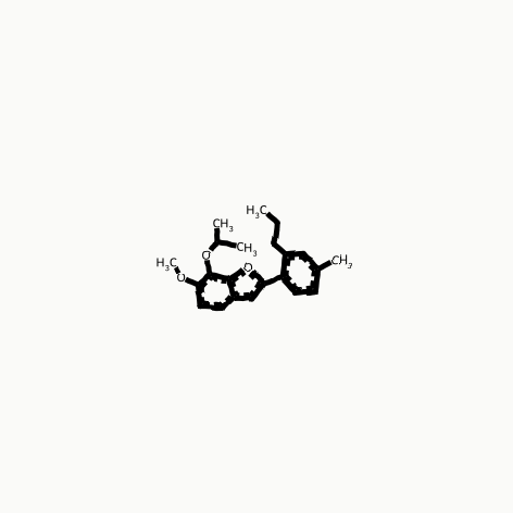 CCCc1cc(C)ccc1-c1cc2ccc(OC)c(OC(C)C)c2o1